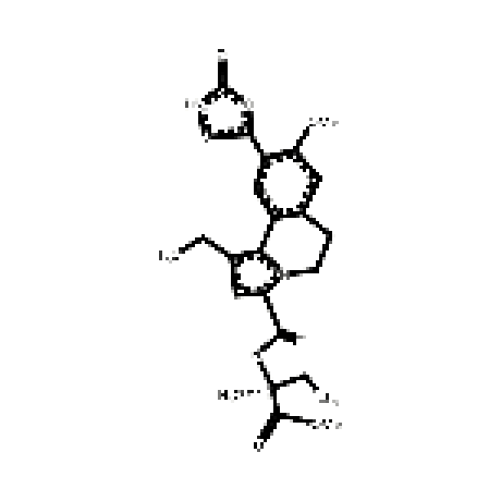 COC(=O)[C@](C)(CC(F)(F)F)NC(=O)c1cc(CC(F)(F)F)c2n1CCc1cc(OC)c(-c3n[nH]c(=O)o3)cc1-2